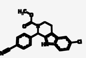 COC(=O)N1CCc2c([nH]c3ccc(Cl)cc23)C1c1ccc(C#N)cc1